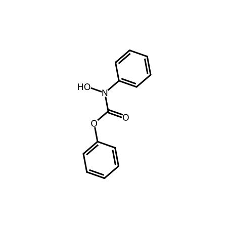 O=C(Oc1ccccc1)N(O)c1ccccc1